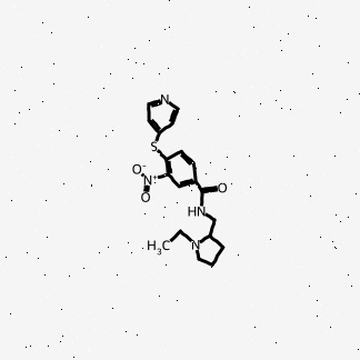 CCN1CCCC1CNC(=O)c1ccc(Sc2ccncc2)c([N+](=O)[O-])c1